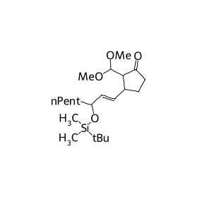 CCCCCC(C=CC1CCC(=O)C1C(OC)OC)O[Si](C)(C)C(C)(C)C